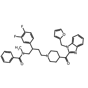 CN(CC(CCN1CCC(C(=O)c2nc3ccccc3n2Cc2ccco2)CC1)c1ccc(F)c(F)c1)C(=O)c1ccccc1